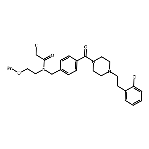 CC(C)OCCN(Cc1ccc(C(=O)N2CCN(CCc3ccccc3Cl)CC2)cc1)C(=O)CCl